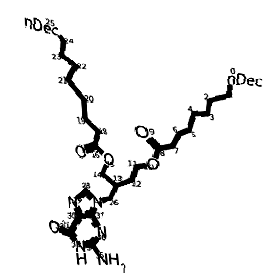 CCCCCCCCCCCCCCCCCC(=O)OCCC(COC(=O)CCCCCCCCCCCCCCCCC)Cn1cnc2c(=O)[nH]c(N)nc21